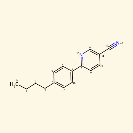 CCCCc1ccc(-c2ccc(C#N)cn2)cc1